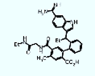 CCNC(=O)CNC(=O)c1cc(-c2ccccc2C(CC)c2c[nH]c3cc(C(=N)N)ccc23)c(C(=O)O)cc1C